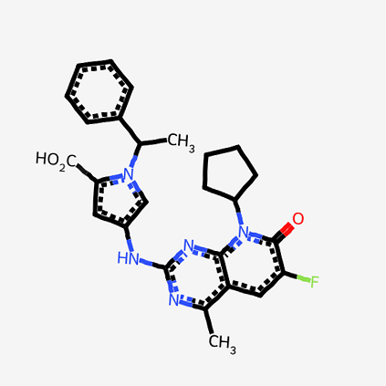 Cc1nc(Nc2cc(C(=O)O)n(C(C)c3ccccc3)c2)nc2c1cc(F)c(=O)n2C1CCCC1